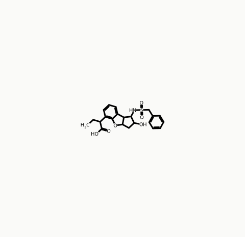 CCC(C(=O)O)c1cccc2c1OC1CC(O)C(NS(=O)(=O)Cc3ccccc3)C21